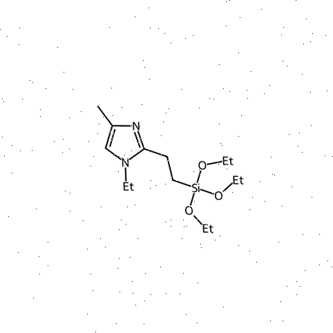 CCO[Si](CCc1nc(C)cn1CC)(OCC)OCC